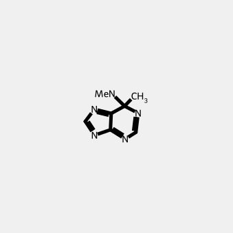 CNC1(C)N=CN=C2N=CN=C21